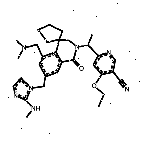 CCOc1cc(C(C)N2CC3(CCCC3)c3c(CN(C)C)cc(Cn4ccnc4NC)cc3C2=O)ncc1C#N